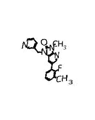 Cc1cccc(-c2cnc3c(c2)n(Cc2cccnc2)c(=O)n3C)c1F